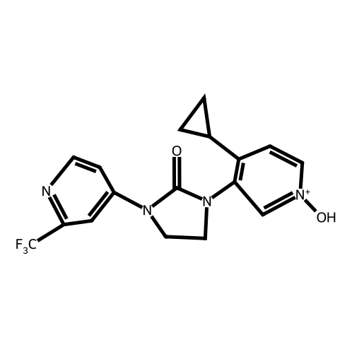 O=C1N(c2ccnc(C(F)(F)F)c2)CCN1c1c[n+](O)ccc1C1CC1